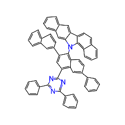 c1ccc(-c2ccc3c(-n4c5cc6ccccc6cc5c5ccc6ccccc6c54)c(-c4ccc5ccccc5c4)cc(-c4nc(-c5ccccc5)nc(-c5ccccc5)n4)c3c2)cc1